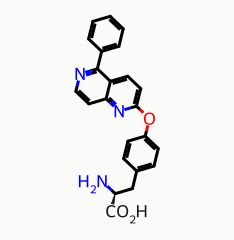 N[C@@H](Cc1ccc(Oc2ccc3c(-c4ccccc4)nccc3n2)cc1)C(=O)O